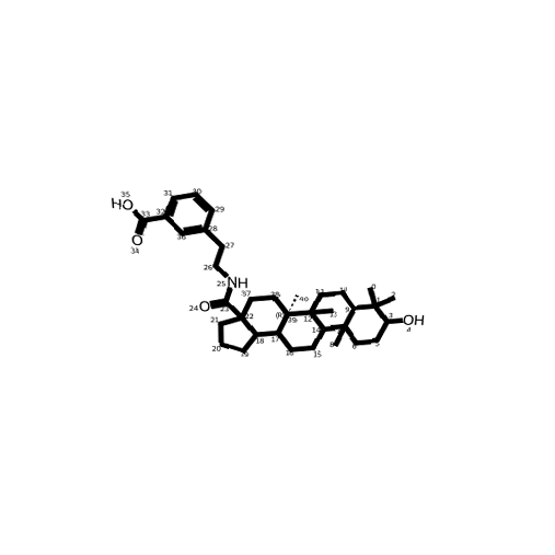 CC1(C)C(O)CCC2(C)C1CCC1(C)C2CCC2C3CCCC3(C(=O)NCCc3cccc(C(=O)O)c3)CC[C@]21C